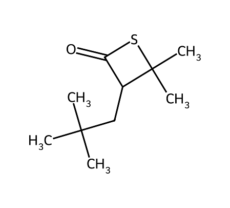 CC(C)(C)CC1C(=O)SC1(C)C